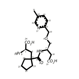 CCC[C@H](CC1(C(=O)N[C@@H](COCc2ccc(C)cn2)CC(=O)O)CCCC1)C(=O)O